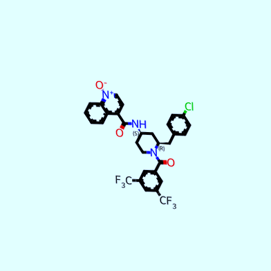 O=C(N[C@H]1CCN(C(=O)c2cc(C(F)(F)F)cc(C(F)(F)F)c2)[C@H](Cc2ccc(Cl)cc2)C1)c1cc[n+]([O-])c2ccccc12